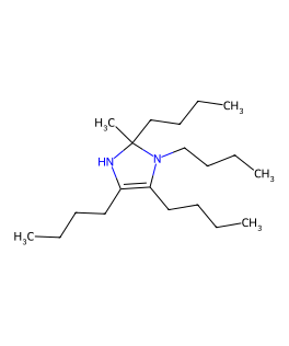 CCCCC1=C(CCCC)N(CCCC)C(C)(CCCC)N1